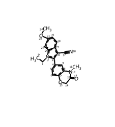 CCn1c(-c2ccc3c(c2)N(C)C(=O)CO3)c(C#N)c2ccc(OC)cc21